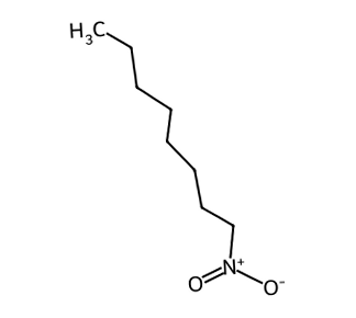 CCCCCCCC[N+](=O)[O-]